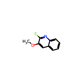 COc1cc2ccccc2nc1F